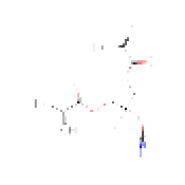 C=C(C)C(=O)OCC(C)(COC(=O)C(=C)C)OC#N